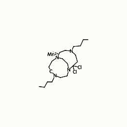 CCCCN1CCCN2CCN(CCCC)CCC(Cl)(Cl)N(CC1)CC2.[Mn+2]